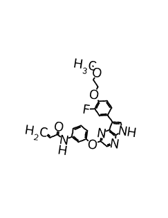 C=CC(=O)Nc1cccc(Oc2cnc3[nH]cc(-c4ccc(OCCOC)c(F)c4)c3n2)c1